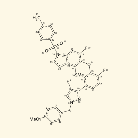 COc1ccc(Cn2cc(F)c(-c3ccc(F)c(Oc4c(F)cc5c(ccn5S(=O)(=O)c5ccc(C)cc5)c4SC)c3)n2)cc1